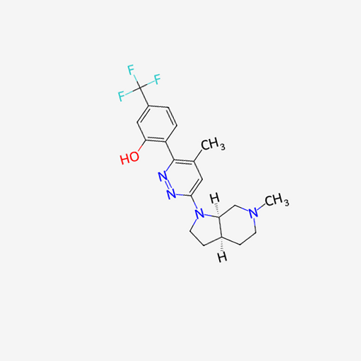 Cc1cc(N2CC[C@@H]3CCN(C)C[C@@H]32)nnc1-c1ccc(C(F)(F)F)cc1O